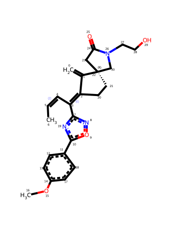 C=C1/C(=C(\C=C/C)c2noc(-c3ccc(OC)cc3)n2)CC[C@@]12CC(=O)N(CCO)C2